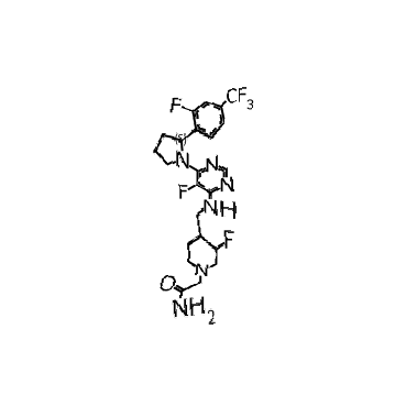 NC(=O)CN1CCC(CNc2ncnc(N3CCC[C@H]3c3ccc(C(F)(F)F)cc3F)c2F)C(F)C1